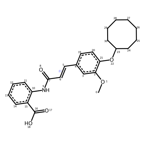 COc1cc(/C=C/C(=O)Nc2ccccc2C(=O)O)ccc1OC1CCCCCCC1